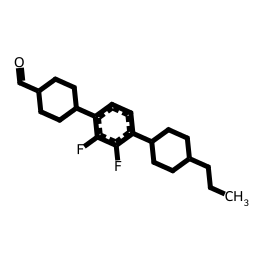 CCCC1CCC(c2ccc(C3CCC(C=O)CC3)c(F)c2F)CC1